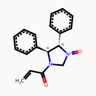 C=CC(=O)N1C[N+](=O)[C@@H](c2ccccc2)[C@@H]1c1ccccc1